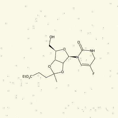 CCOC(=O)CCC1(C)OC2C(O1)[C@@H](CO)O[C@H]2N1C=C(F)CNC1=O